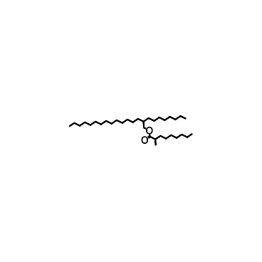 CCCCCCCCCCCCCCC(CCCCCCCC)COC(=O)C(C)CCCCCCC